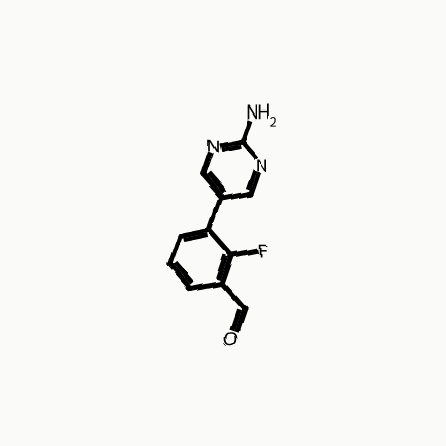 Nc1ncc(-c2cccc(C=O)c2F)cn1